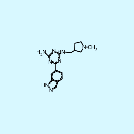 CN1CCC(CNc2nc(N)nc(-c3ccc4cn[nH]c4c3)n2)C1